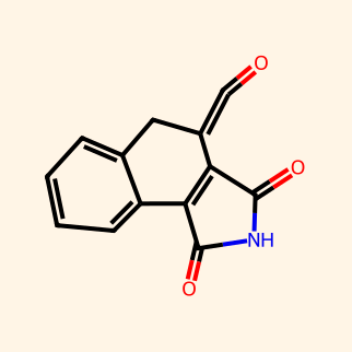 O=C=C1Cc2ccccc2C2=C1C(=O)NC2=O